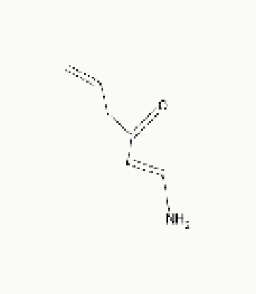 C=CCC(=O)C=CN